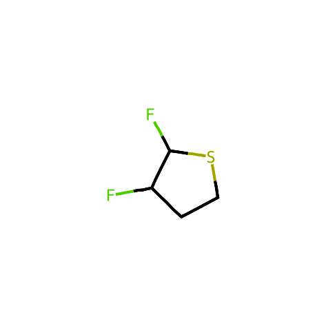 FC1CCSC1F